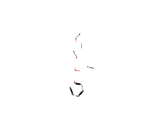 CCOCCO[C](OCC)Oc1ccccc1